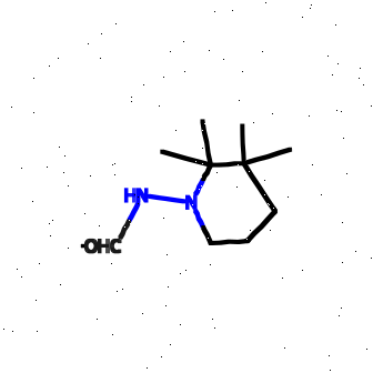 CC1(C)CCCN(N[C]=O)C1(C)C